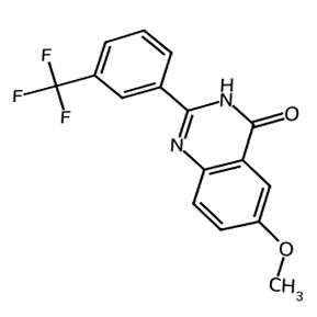 COc1ccc2nc(-c3cccc(C(F)(F)F)c3)[nH]c(=O)c2c1